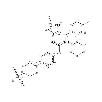 Cc1ccc(C(NC(=O)Cc2ccc(N3CCC(S(C)(=O)=O)CC3)cc2)c2ccc(C)o2)c(N2CCCCC2)c1